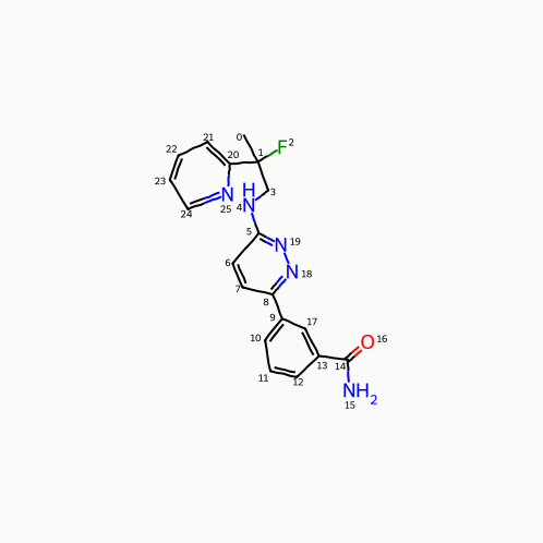 CC(F)(CNc1ccc(-c2cccc(C(N)=O)c2)nn1)c1ccccn1